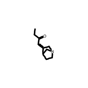 CCC(=O)C=C1CN2CCC1C2